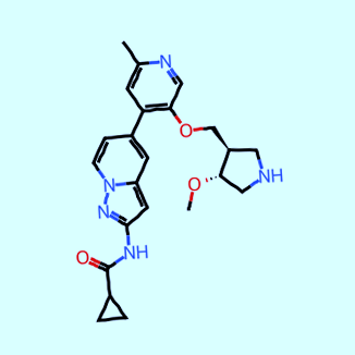 CO[C@H]1CNC[C@@H]1COc1cnc(C)cc1-c1ccn2nc(NC(=O)C3CC3)cc2c1